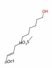 CCCCCCCCC=CCCCCCCCCO.CS(=O)(=O)O